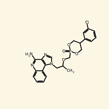 CC(Cn1cnc2c(N)nc3ccccc3c21)OCP1(=O)OCC(c2cccc(Cl)c2)CO1